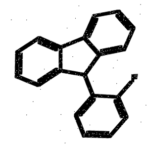 Fc1ccccc1C1c2ccccc2-c2ccccc21